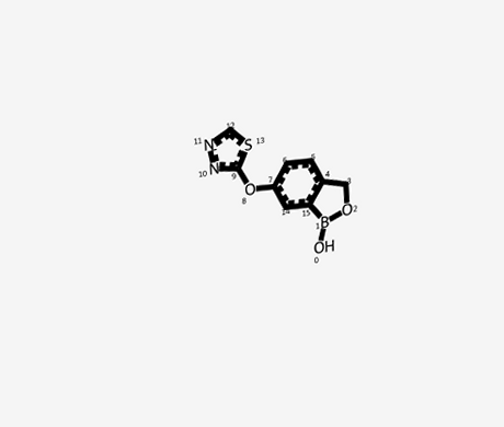 OB1OCc2ccc(Oc3nncs3)cc21